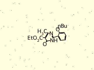 CCCCOc1ccccc1-c1nc(C)c(C(=O)OCC)c(=O)[nH]1